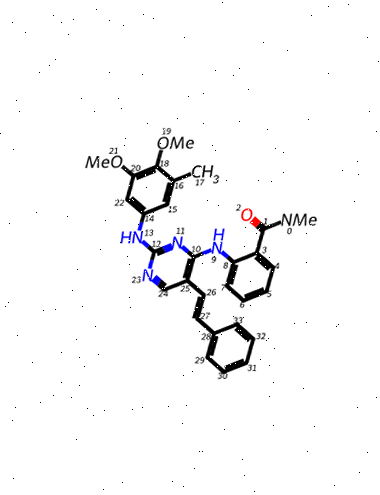 CNC(=O)c1ccccc1Nc1nc(Nc2cc(C)c(OC)c(OC)c2)ncc1/C=C/c1ccccc1